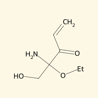 C=CC(=O)C(N)(CO)OCC